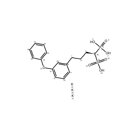 O=P(O)(O)[C@H](CCCc1cccc(Oc2ccccc2)c1)S(=O)(=O)O.[K].[K].[K]